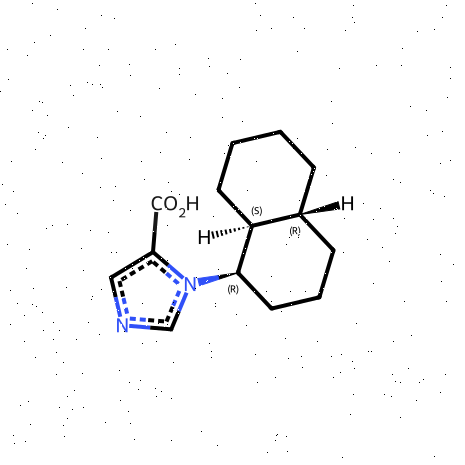 O=C(O)c1cncn1[C@@H]1CCC[C@H]2CCCC[C@@H]21